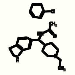 CCN1CCC(C(NC(C)=O)c2ccc3c(c2)NCC3)CC1.Clc1ccccc1